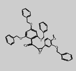 COc1ccc(C2OC2C(=O)c2c(OCc3ccccc3)cc(OCc3ccccc3)cc2OCc2ccccc2)cc1OCc1ccccc1